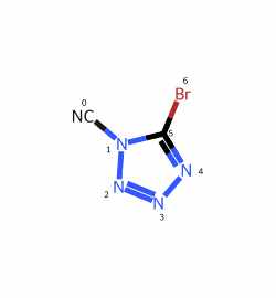 N#Cn1nnnc1Br